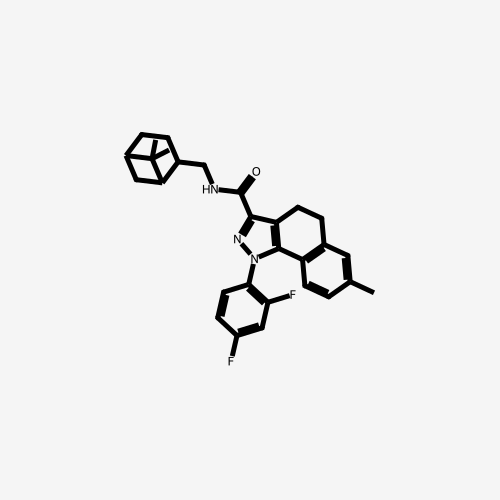 Cc1ccc2c(c1)CCc1c(C(=O)NCC3CCC4CC3C4(C)C)nn(-c3ccc(F)cc3F)c1-2